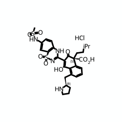 CC(C)CC[C@@]1(C(=O)O)C(=O)C(C2=NS(=O)(=O)c3cc(NS(C)(=O)=O)ccc3N2)=C(O)c2c(C[C@H]3CCCN3)cccc21.Cl